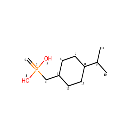 C=P(O)(O)CC1CCC(C(C)C)CC1